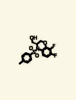 Cc1ccc(S(=O)(=O)N2c3ccc(F)c(F)c3OC[C@@H]2CO)cc1